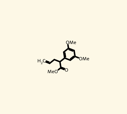 C=CCC(C(=O)OC)c1cc(OC)cc(OC)c1